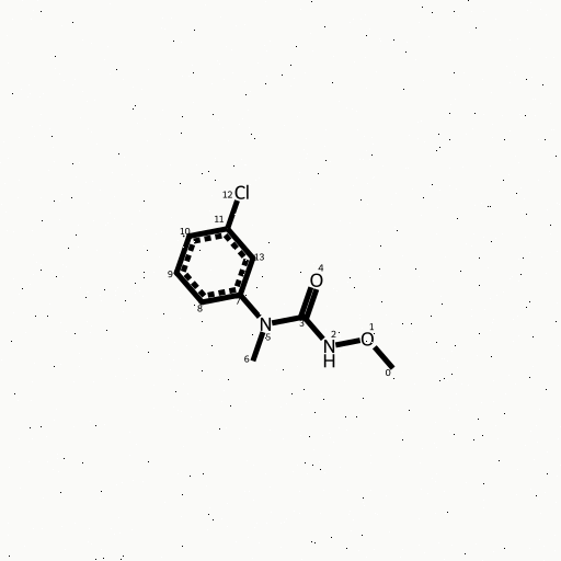 CONC(=O)N(C)c1cc[c]c(Cl)c1